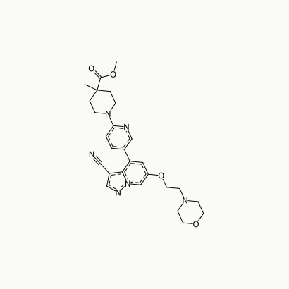 COC(=O)C1(C)CCN(c2ccc(-c3cc(OCCN4CCOCC4)cn4ncc(C#N)c34)cn2)CC1